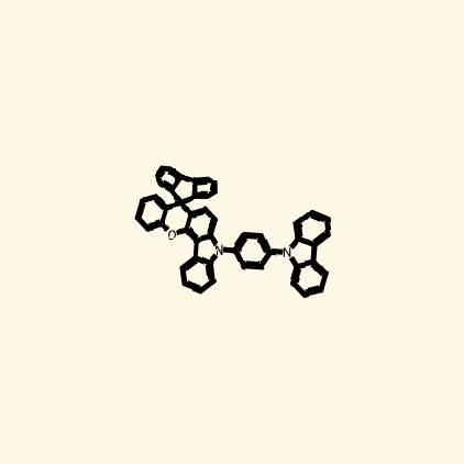 c1ccc2c(c1)Oc1c(ccc3c1c1ccccc1n3-c1ccc(-n3c4ccccc4c4ccccc43)cc1)C21c2ccccc2-c2ccccc21